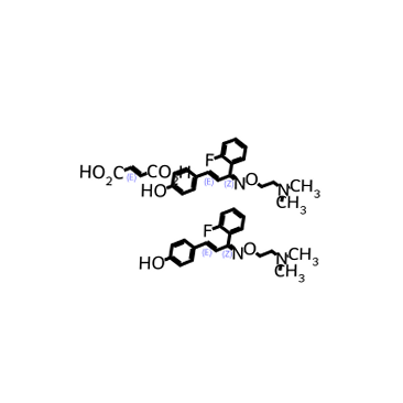 CN(C)CCO/N=C(/C=C/c1ccc(O)cc1)c1ccccc1F.CN(C)CCO/N=C(/C=C/c1ccc(O)cc1)c1ccccc1F.O=C(O)/C=C/C(=O)O